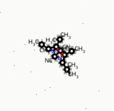 Cc1ccc(-c2ccc3c(c2)c2cc(-c4ccc(C)cc4C)ccc2n3-c2cc(C#N)cc(-n3c4ccc(-c5ccc(C)cc5C)cc4c4cc(-c5ccc(C)cc5C)ccc43)c2-c2ccc(C#N)cc2F)c(C)c1